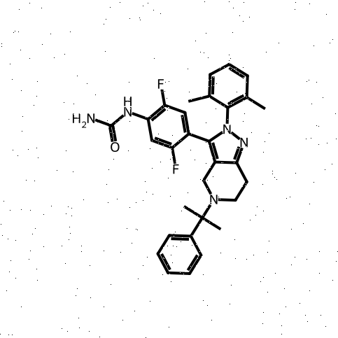 Cc1cccc(C)c1-n1nc2c(c1-c1cc(F)c(NC(N)=O)cc1F)CN(C(C)(C)c1ccccc1)CC2